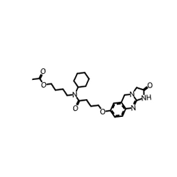 CC(=O)OCCCCN(C(=O)CCCOc1ccc2c(c1)CN1CC(=O)NC1=N2)C1CCCCC1